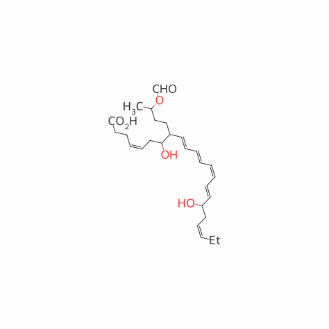 CC/C=C\CC(O)/C=C/C=C\C=C\C=C\C(CCC(C)OC=O)C(O)C/C=C\CCC(=O)O